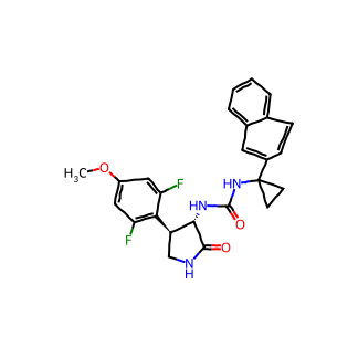 COc1cc(F)c([C@@H]2CNC(=O)[C@H]2NC(=O)NC2(c3ccc4ccccc4c3)CC2)c(F)c1